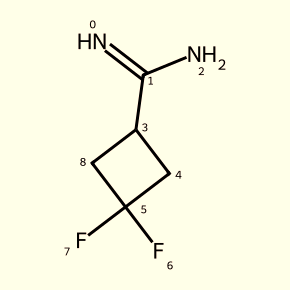 N=C(N)C1CC(F)(F)C1